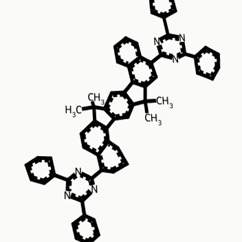 CC1(C)c2cc3c(cc2-c2c1ccc1c(-c4nc(-c5ccccc5)nc(-c5ccccc5)n4)cccc21)C(C)(C)c1cc(-c2nc(-c4ccccc4)nc(-c4ccccc4)n2)c2ccccc2c1-3